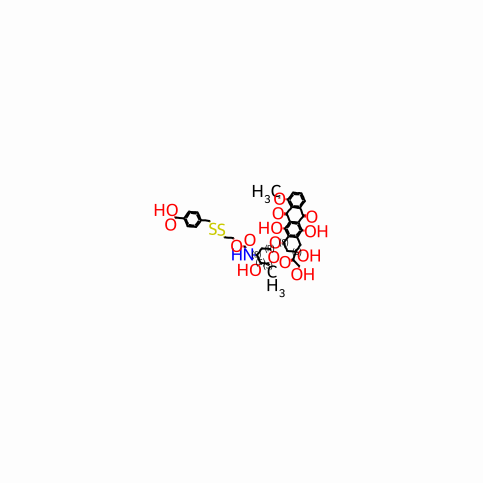 COc1cccc2c1C(=O)c1c(O)c3c(c(O)c1C2=O)C[C@@](O)(C(=O)CO)C[C@@H]3O[C@H]1C[C@H](NC(=O)OCCSSCc2ccc(C(=O)O)cc2)[C@H](O)[C@H](C)O1